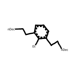 [CH2]Cc1c(CCCCCCCCCCCC)cccc1CCCCCCCCCCCC